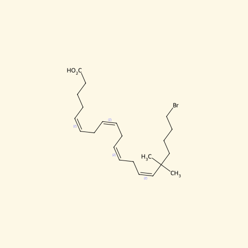 CC(C)(/C=C\C/C=C\C/C=C\C/C=C\CCCC(=O)O)CCCCBr